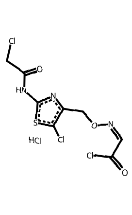 Cl.O=C(Cl)/C=N\OCc1nc(NC(=O)CCl)sc1Cl